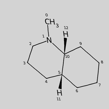 CN1CCC[C@H]2CCCC[C@H]21